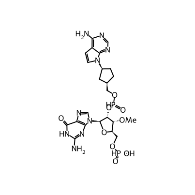 CO[C@H]1[C@@H](O[PH](=O)OC[C@@H]2CC[C@H](n3ccc4c(N)ncnc43)C2)[C@H](n2cnc3c(=O)[nH]c(N)nc32)O[C@@H]1CO[PH](=O)O